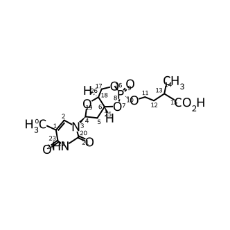 Cc1cn([C@@H]2C[C@H]3O[P@@](=O)(OCCC(C)C(=O)O)OC[C@@H]3O2)c(=O)[nH]c1=O